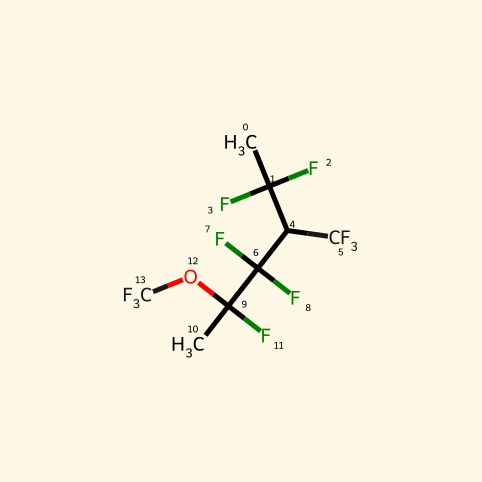 CC(F)(F)C(C(F)(F)F)C(F)(F)C(C)(F)OC(F)(F)F